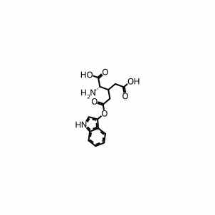 N[C@H](C(=O)O)C(CC(=O)O)CC(=O)Oc1c[nH]c2ccccc12